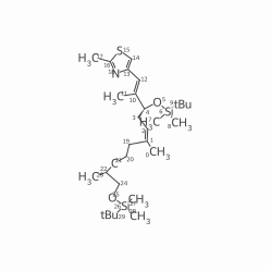 C/C(=C/C[C@H](O[Si](C)(C)C(C)(C)C)/C(C)=C/c1csc(C)n1)CCC[C@H](C)CO[Si](C)(C)C(C)(C)C